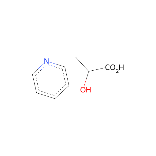 CC(O)C(=O)O.c1ccncc1